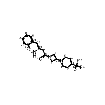 N[C@@H](CC(=O)N1CC(N2CCC(C(F)(F)F)CC2)C1)Cc1ccccc1F